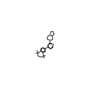 CC1(C)CCC(C)(C)c2cc(-c3ccnc(N4CCN5CCCC5C4)c3)ccc21